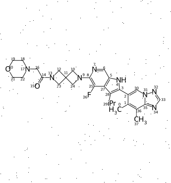 Cc1c(-c2[nH]c3cnc(N4CC5(CN(C(=O)CN6CCOCC6)C5)C4)c(F)c3c2C(C)C)cn2ncnc2c1C